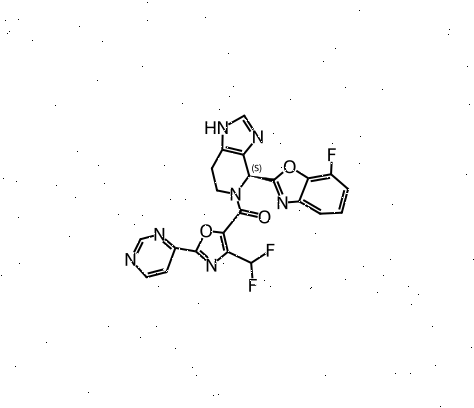 O=C(c1oc(-c2ccncn2)nc1C(F)F)N1CCc2[nH]cnc2[C@H]1c1nc2cccc(F)c2o1